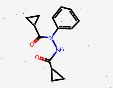 O=C(NN(C(=O)C1CC1)c1cc[c]cc1)C1CC1